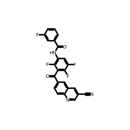 N#Cc1cnc2ccc(C(=O)c3c(F)c(F)cc(NC(=O)c4cccc(F)c4)c3F)cc2c1